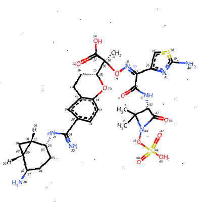 CC1(C)[C@H](NC(=O)/C(=N\O[C@](C)(C(=O)O)[C@H]2CCc3cc(C(=N)N[C@@H]4CC[C@@H](N)[C@@H]5C[C@@H]54)ccc3O2)c2csc(N)n2)C(=O)N1OS(=O)(=O)O